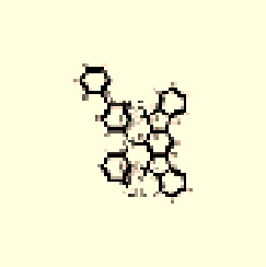 Cc1cccc(N(c2ccc(-c3ccccc3)cc2)c2c3c(cc4c2C(C)(C)c2ccccc2-4)-c2ccccc2C3(C)C)c1